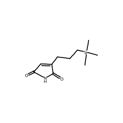 C[Si](C)(C)CCCC1=CC(=O)NC1=O